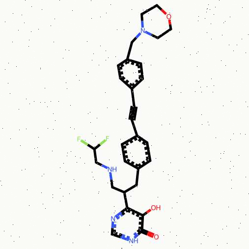 O=c1[nH]cnc(C(CNCC(F)F)Cc2ccc(C#Cc3ccc(CN4CCOCC4)cc3)cc2)c1O